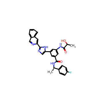 CC(O)C(=O)Nc1cc(C(=O)N[C@H](C)c2ccc(F)cc2)cc(-c2cnc(-c3cc4ccccc4cn3)[nH]2)c1